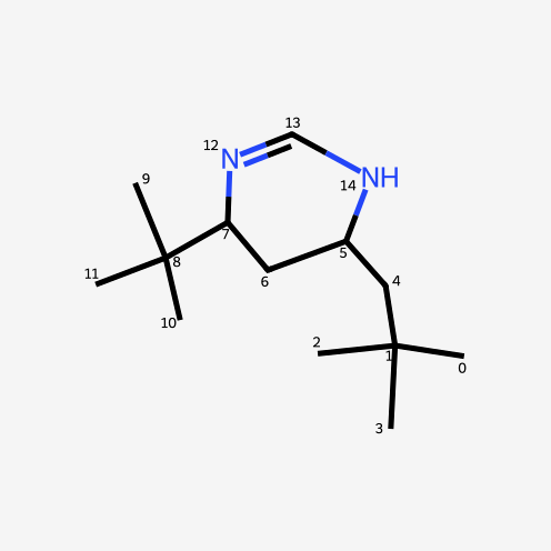 CC(C)(C)CC1CC(C(C)(C)C)N=CN1